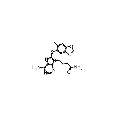 NC(=O)CCCn1c(Sc2cc3c(cc2I)OCO3)nc2c(N)ncnc21